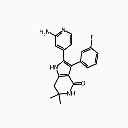 CC1(C)Cc2[nH]c(-c3ccnc(N)c3)c(-c3cccc(F)c3)c2C(=O)N1